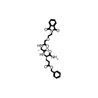 C[C@H](NC(=O)COCCN1C(=O)c2ccccc2C1=O)C(=O)N[C@H](CCC(=O)OCc1ccccc1)C(N)=O